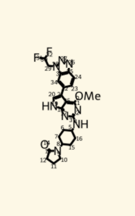 COc1nc(NC2CCC(N3CCCC3=O)CC2)nc2[nH]cc(-c3ccc4nnn(CC(F)F)c4c3)c12